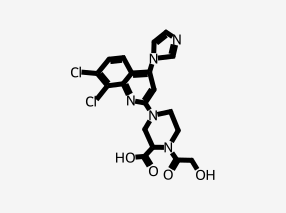 O=C(O)C1CN(c2cc(-n3ccnc3)c3ccc(Cl)c(Cl)c3n2)CCN1C(=O)CO